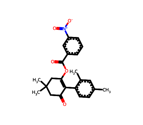 Cc1ccc(C2=C(OC(=O)c3cccc([N+](=O)[O-])c3)CC(C)(C)CC2=O)c(C)c1